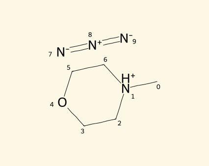 C[NH+]1CCOCC1.[N-]=[N+]=[N-]